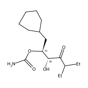 CCC(CC)C(=O)[C@H](O)[C@H](CC1CCCCC1)OC(N)=O